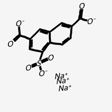 O=C([O-])c1ccc2c(S(=O)(=O)[O-])cc(C(=O)[O-])cc2c1.[Na+].[Na+].[Na+]